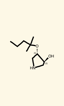 CCCC(C)(C)O[C@H]1CNC[C@@H]1O